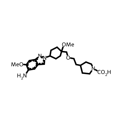 COc1cc2nn(C3CCC(COCCC4CCN(C(=O)O)CC4)(OC)CC3)cc2cc1N